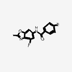 Cc1nc2c(F)cc(NC(=O)c3ccc(F)cc3)cc2o1